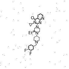 CC[C@H]1CN(c2nc3ncccc3c(=O)n2C2CC2)CCN1C1CCN(Cc2ccc(F)c(F)c2)CC1